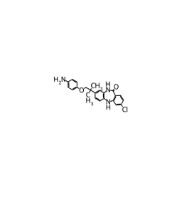 CC(C)(COc1ccc(N)cc1)c1ccc2c(c1)NC(=O)c1ccc(Cl)cc1N2